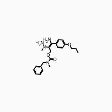 CCCOc1ccc(/C(N)=C(\COC(=O)N(C)Cc2ccccc2)N(C)N)cc1